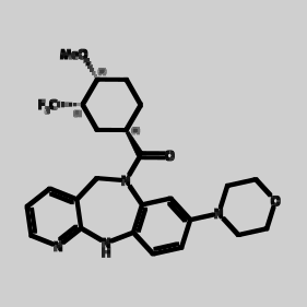 CO[C@@H]1CC[C@@H](C(=O)N2Cc3cccnc3Nc3ccc(N4CCOCC4)cc32)C[C@@H]1C(F)(F)F